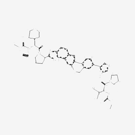 C#C[C@H]1CCC(c2nc3ccc4cc5c(cc4c3[nH]2)OCc2cc(-c3cnc([C@@H]4CC[C@H](C)N4C(=O)[C@@H](NC(=O)OC)C(C)C)[nH]3)ccc2-5)N1C(=O)[C@@H](NC(=O)OC)C1CCOCC1